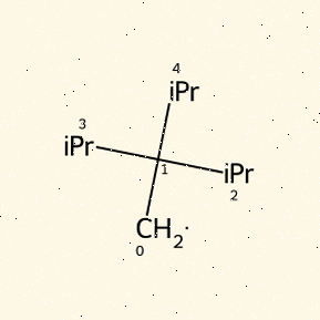 [CH2]C(C(C)C)(C(C)C)C(C)C